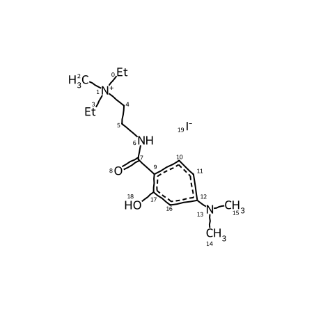 CC[N+](C)(CC)CCNC(=O)c1ccc(N(C)C)cc1O.[I-]